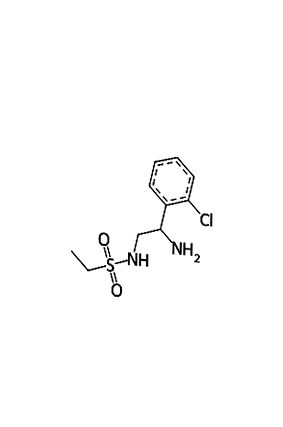 CCS(=O)(=O)NCC(N)c1ccccc1Cl